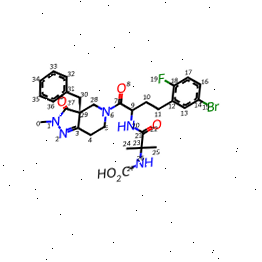 CN1N=C2CCN(C(=O)C(CCc3cc(Br)ccc3F)NC(=O)C(C)(C)NC(=O)O)C[C@@]2(Cc2ccccc2)C1=O